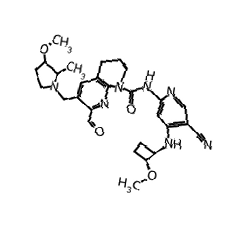 COC1CCN(Cc2cc3c(nc2C=O)N(C(=O)Nc2cc(N[C@@H]4CC[C@@H]4OC)c(C#N)cn2)CCC3)C1C